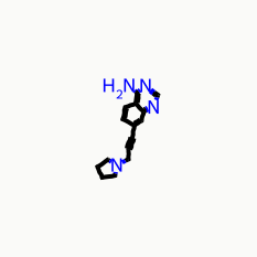 Nc1ncnc2cc(C#CCN3CCCC3)ccc12